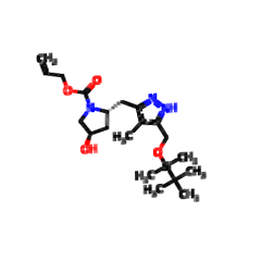 C=CCOC(=O)N1C[C@H](O)C[C@H]1Cc1n[nH]c(CO[Si](C)(C)C(C)(C)C)c1C